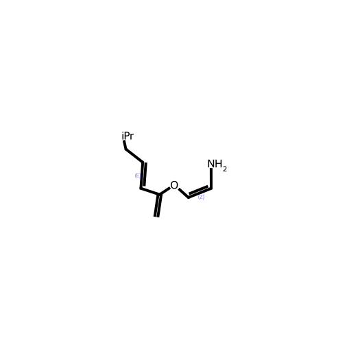 C=C(/C=C/CC(C)C)O/C=C\N